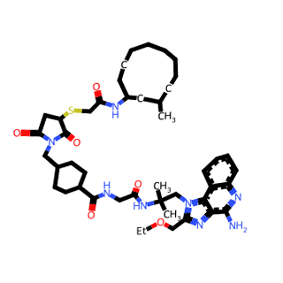 CCOCc1nc2c(N)nc3ccccc3c2n1CC(C)(C)NC(=O)CNC(=O)C1CCC(CN2C(=O)CC(SCC(=O)NC3CCCCCCCCC(C)C3)C2=O)CC1